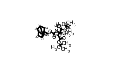 CC(C)(C)OC(=O)CC(N)(NC(=O)OCC12CC3CC(CC(C3)C1)C2)C(=O)OC(C)(C)C